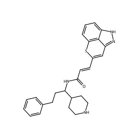 O=C(C=CC1=Cc2n[nH]c3cccc(c23)S1)NC(CCc1ccccc1)C1CCNCC1